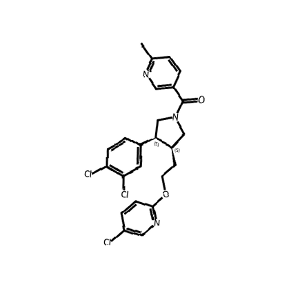 Cc1ccc(C(=O)N2C[C@@H](CCOc3ccc(Cl)cn3)[C@@H](c3ccc(Cl)c(Cl)c3)C2)cn1